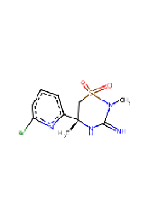 CN1C(=N)N[C@](C)(c2cccc(Br)n2)CS1(=O)=O